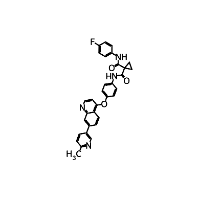 Cc1ccc(-c2ccc3c(Oc4ccc(NC(=O)C5(C(=O)Nc6ccc(F)cc6)CC5)cc4)ccnc3c2)cn1